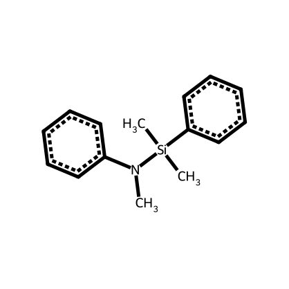 CN(c1ccccc1)[Si](C)(C)c1ccccc1